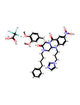 COc1ccc(C[C@H]2C(=O)N(CCCCc3ccccc3)CC3N(CCCn4ccnc4)c4ccc([N+](=O)[O-])cc4C(=O)N32)cc1OC.O=C(O)C(F)(F)F